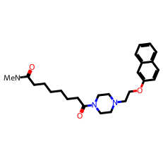 CNC(=O)CCCCCCC(=O)N1CCN(CCOc2ccc3ccccc3c2)CC1